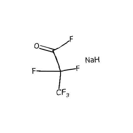 O=C(F)C(F)(F)C(F)(F)F.[NaH]